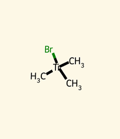 [CH3][Ti]([CH3])([CH3])[Br]